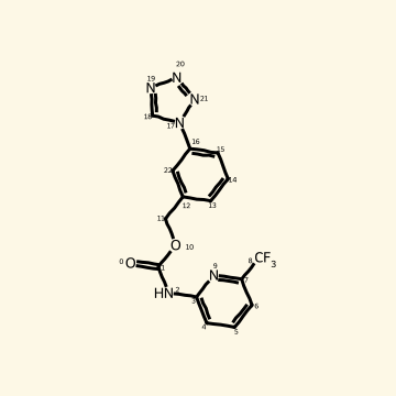 O=C(Nc1cccc(C(F)(F)F)n1)OCc1cccc(-n2cnnn2)c1